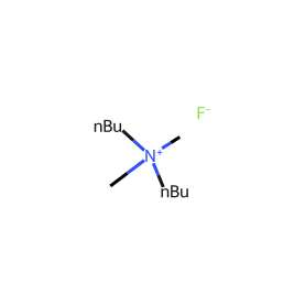 CCCC[N+](C)(C)CCCC.[F-]